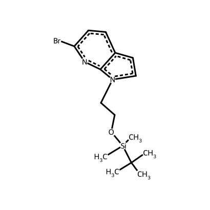 CC(C)(C)[Si](C)(C)OCCn1ccc2ccc(Br)nc21